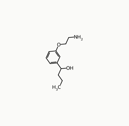 CCCC(O)c1cccc(OCCN)c1